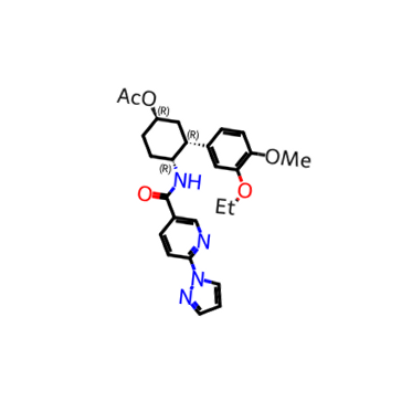 CCOc1cc([C@H]2C[C@H](OC(C)=O)CC[C@H]2NC(=O)c2ccc(-n3cccn3)nc2)ccc1OC